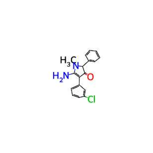 CN1C(N)=C(c2cccc(Cl)c2)C(=O)C1c1ccccc1